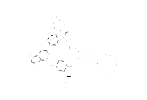 CC(=O)N1CCC2(CC1)C(=O)N(C1CC(N3CCCC(BC4CCCCCCCCC4)C3)C1)c1cc(-c3cc4ncn(C(C)C)c4c(Nc4cc(C(=O)NC(C)C)c(C)cc4F)n3)ccc12